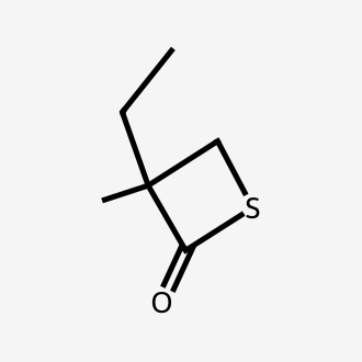 CCC1(C)CSC1=O